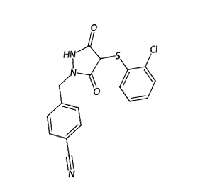 N#Cc1ccc(CN2NC(=O)C(Sc3ccccc3Cl)C2=O)cc1